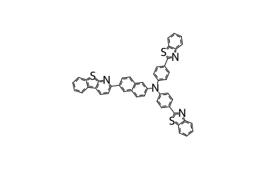 c1ccc2sc(-c3ccc(N(c4ccc(-c5nc6ccccc6s5)cc4)c4ccc5cc(-c6ccc7c(n6)sc6ccccc67)ccc5c4)cc3)nc2c1